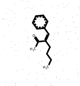 CCCCC(=Cc1ccccc1)C(C)=O